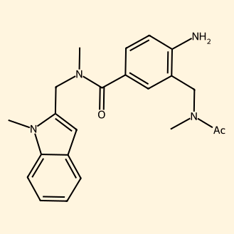 CC(=O)N(C)Cc1cc(C(=O)N(C)Cc2cc3ccccc3n2C)ccc1N